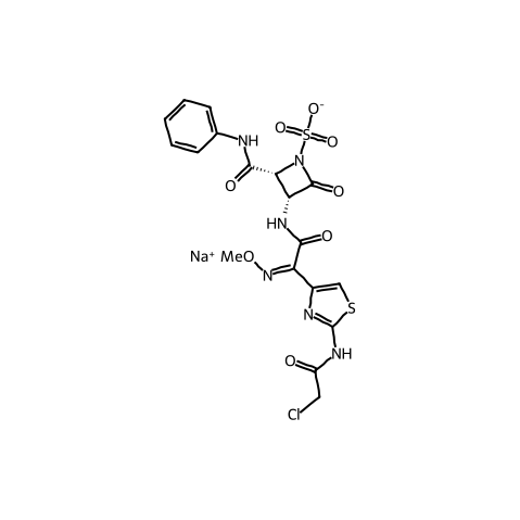 CON=C(C(=O)N[C@H]1C(=O)N(S(=O)(=O)[O-])[C@H]1C(=O)Nc1ccccc1)c1csc(NC(=O)CCl)n1.[Na+]